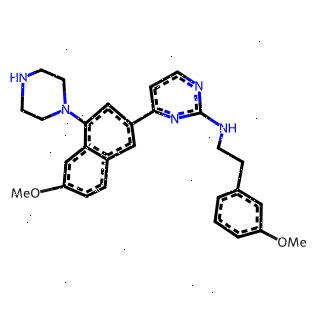 COc1cccc(CCNc2nccc(-c3cc(N4CCNCC4)c4cc(OC)ccc4c3)n2)c1